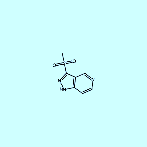 CS(=O)(=O)c1n[nH]c2ccncc12